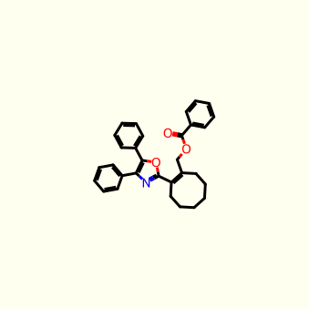 O=C(OCC1=C(c2nc(-c3ccccc3)c(-c3ccccc3)o2)CCCCCC1)c1ccccc1